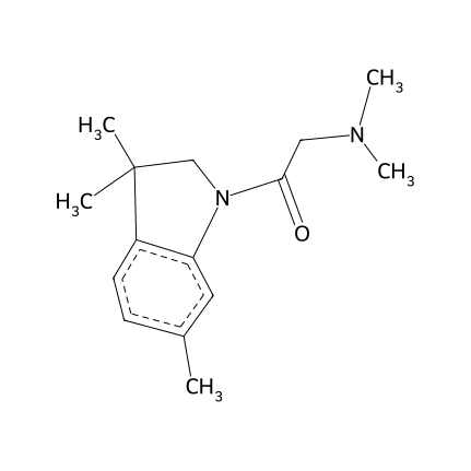 Cc1ccc2c(c1)N(C(=O)CN(C)C)CC2(C)C